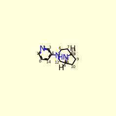 c1cncc(N2CC[C@H]3CC[C@@H](C2)N3)c1